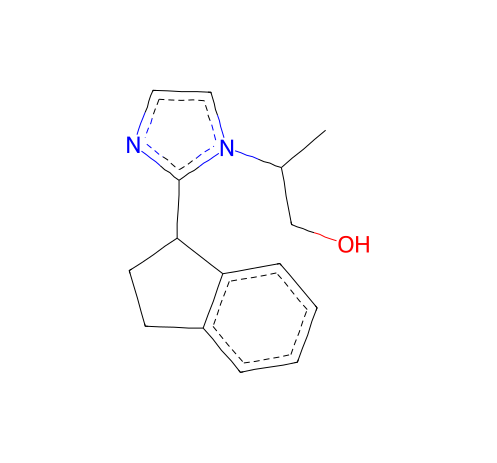 CC(CO)n1ccnc1C1CCc2ccccc21